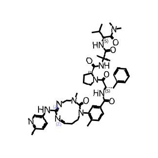 Cc1ccc(NC2=N/CN(C)C(=O)N(c3cc(C(=O)N[C@@H](Cc4ccccc4)C(=O)N4CCC[C@H]4C(=O)NC(C)(C)C(=O)N[C@H](C(=O)N(C)C)C(C)C)ccc3C)CC/C=N\2)cn1